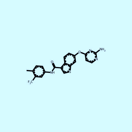 Cc1ccc(NC(=O)c2csc3cc(Oc4ccnc(N)n4)ccc23)cc1C(F)(F)F